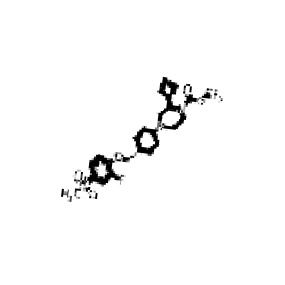 CS(=O)(=O)c1ccc(OC[C@H]2CC[C@H](N3CCN(C(=O)OC(F)(F)F)C(C4CCC4)C3)CC2)c(F)c1